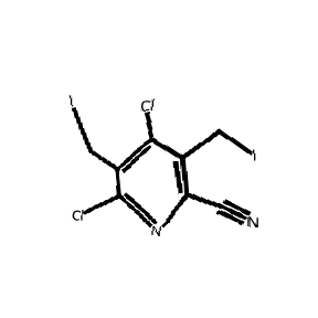 N#Cc1nc(Cl)c(CI)c(Cl)c1CI